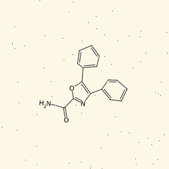 NC(=O)c1nc(-c2ccccc2)c(-c2ccccc2)o1